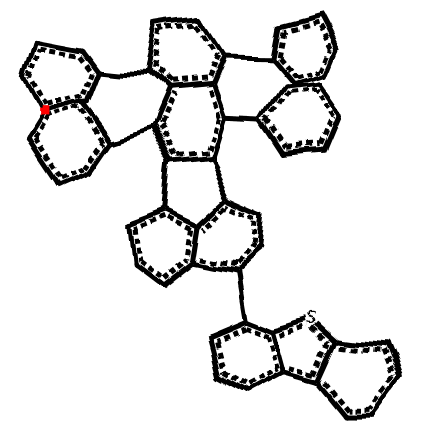 c1ccc(-c2ccc(-c3ccccc3)c3c(-c4ccccc4)c4c(c(-c5ccccc5)c23)-c2cccc3c(-c5cccc6c5sc5ccccc56)ccc-4c23)cc1